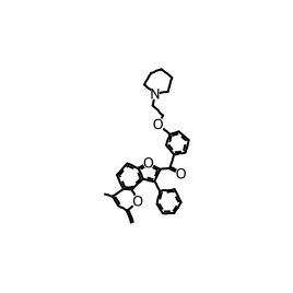 C=C1C=C(C)c2ccc3oc(C(=O)c4cccc(OCCN5CCCCC5)c4)c(-c4ccccc4)c3c2O1